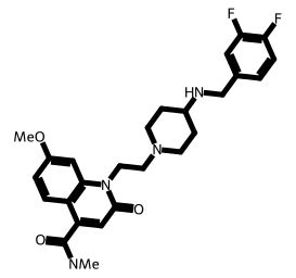 CNC(=O)c1cc(=O)n(CCN2CCC(NCc3ccc(F)c(F)c3)CC2)c2cc(OC)ccc12